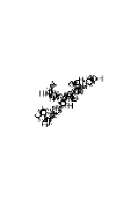 CC(C)c1ccccc1[C@@H]1COCCN1C1CC2(CCN(c3ccc(C(=O)NS(=O)(=O)c4cnc(NC[C@H]5CC[C@](C)(O)CC5)c([N+](=O)[O-])c4)c(Oc4cnc5[nH]cc(C#N)c5c4)c3)CC2)C1